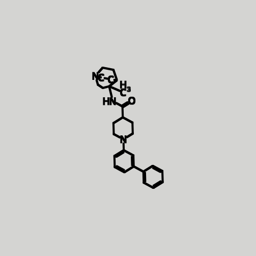 CC1(NC(=O)C2CCN(c3cccc(-c4ccccc4)c3)CC2)CCN2CCC1CC2